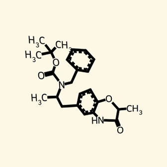 CC1Oc2ccc(CC(C)N(Cc3ccccc3)C(=O)OC(C)(C)C)cc2NC1=O